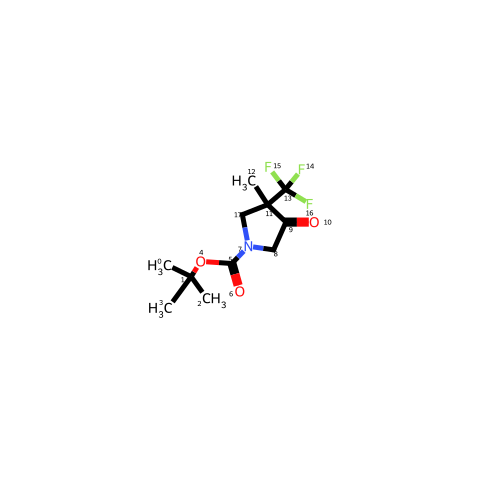 CC(C)(C)OC(=O)N1CC(=O)C(C)(C(F)(F)F)C1